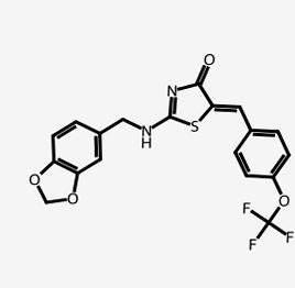 O=C1N=C(NCc2ccc3c(c2)OCO3)SC1=Cc1ccc(OC(F)(F)F)cc1